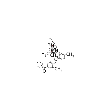 Cc1ccc(OCc2ccc(C(=O)N3CCCCC3)cc2C)c(-c2csc(N3CC4CCC(C3)C4C(=O)OC(C)(C)C)n2)c1